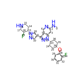 CNc1cc2c(cn1)c(-c1cnn([C@H]3CCNC[C@@H]3F)c1)nn2[C@H]1CC[C@@H](Oc2ccccc2F)CC1